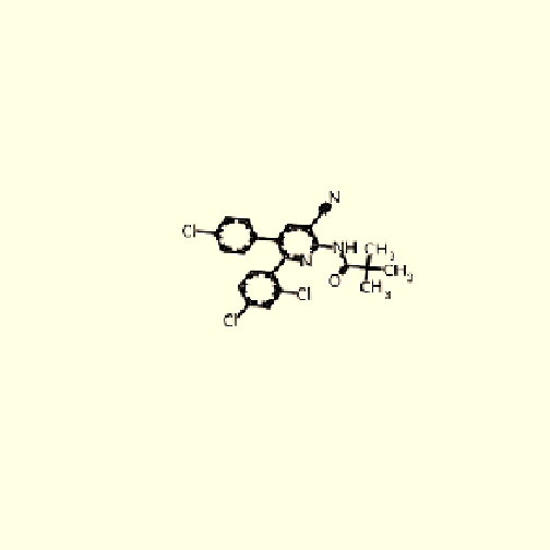 CC(C)(C)C(=O)Nc1nc(-c2ccc(Cl)cc2Cl)c(-c2ccc(Cl)cc2)cc1C#N